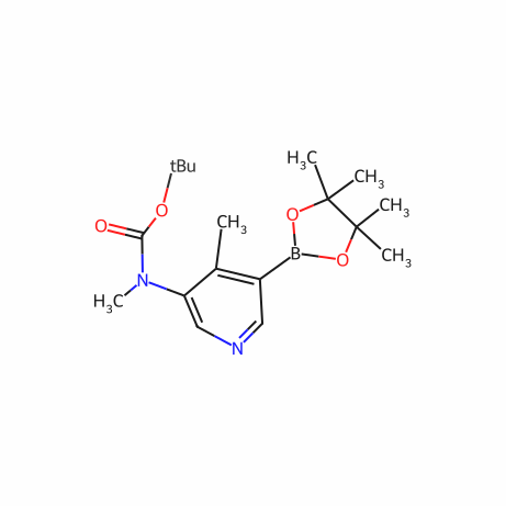 Cc1c(B2OC(C)(C)C(C)(C)O2)cncc1N(C)C(=O)OC(C)(C)C